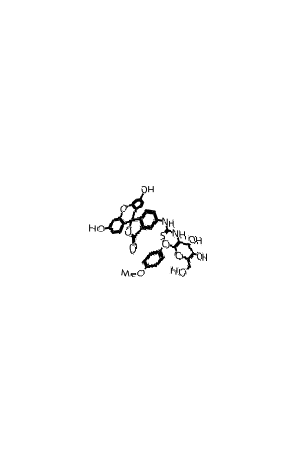 COc1ccc(OC2OC(CO)C(O)C(O)C2NC(=S)Nc2ccc3c(c2)C(=O)OC32c3ccc(O)cc3Oc3cc(O)ccc32)cc1